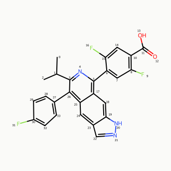 CC(C)c1nc(-c2cc(F)c(C(=O)O)cc2F)c2cc3[nH]ncc3cc2c1-c1ccc(F)cc1